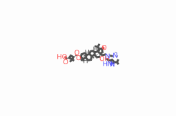 CC(C)C1=C2[C@H]3CC[C@@H]4[C@@]5(C)CC[C@H](OC(=O)[C@H]6C[C@@H](C(=O)O)C6(C)C)C(C)(C)[C@@H]5CC[C@@]4(C)[C@]3(C)CC[C@@]2([C@@H](O)CN(CCN(C)C)Cc2cc(C(C)C)n[nH]2)CC1=O